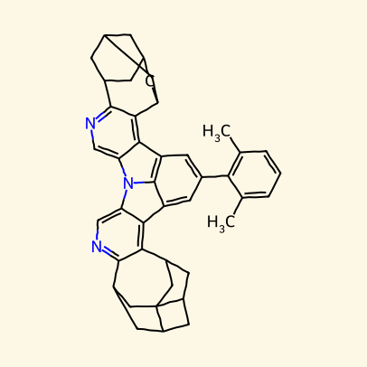 Cc1cccc(C)c1-c1cc2c3c4c(ncc3n3c5cnc6c(c5c(c1)c23)C1CC2CC3CC6CC32C1)C1CC2CC(C1)CC4C2